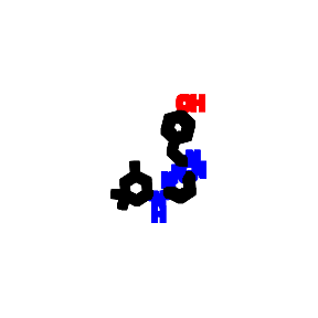 CC1CC(Nc2ccc3nnc(Cc4ccc(O)cc4)n3n2)CC(C)(C)C1